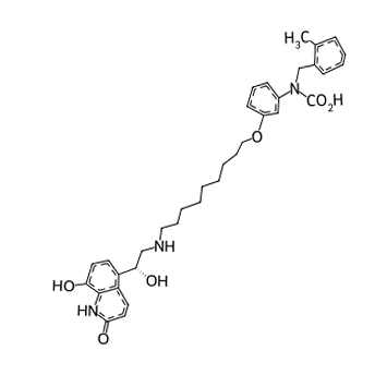 Cc1ccccc1CN(C(=O)O)c1cccc(OCCCCCCCCCNC[C@H](O)c2ccc(O)c3[nH]c(=O)ccc23)c1